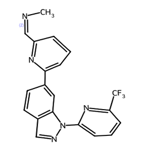 C/N=C\c1cccc(-c2ccc3cnn(-c4cccc(C(F)(F)F)n4)c3c2)n1